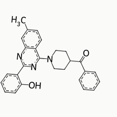 Cc1ccc2c(N3CCC(C(=O)c4ccccc4)CC3)nc(-c3ccccc3O)nc2c1